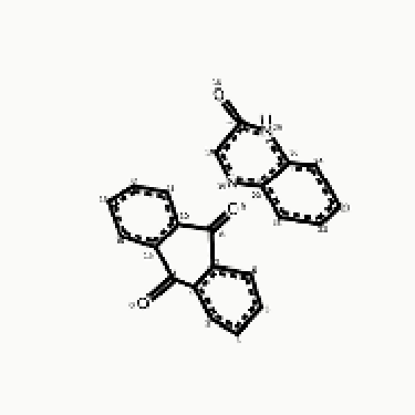 O=C1c2ccccc2C(=O)c2ccccc21.O=c1cnc2ccccc2[nH]1